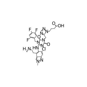 Cn1cc2c(CCN)c(Nc3nc(=O)n(Cc4ncnn4CCCC(=O)O)c(=O)n3Cc3cc(F)c(F)cc3F)c(Cl)cc2n1